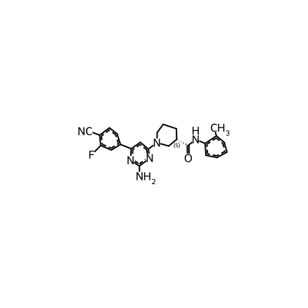 Cc1ccccc1NC(=O)[C@H]1CCCN(c2cc(-c3ccc(C#N)c(F)c3)nc(N)n2)C1